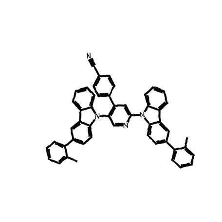 Cc1ccccc1-c1ccc2c(c1)c1ccccc1n2-c1cc(-c2ccc(C#N)cc2)c(-n2c3ccccc3c3cc(-c4ccccc4C)ccc32)cn1